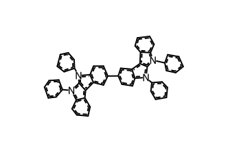 c1ccc(-n2c3ccccc3c3c4cc(-c5ccc6c(c5)c5c7ccccc7n(-c7ccccc7)c5n6-c5ccccc5)ccc4n(-c4ccccc4)c32)cc1